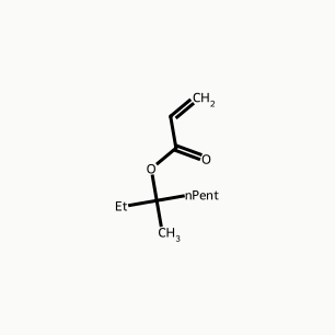 C=CC(=O)OC(C)(CC)CCCCC